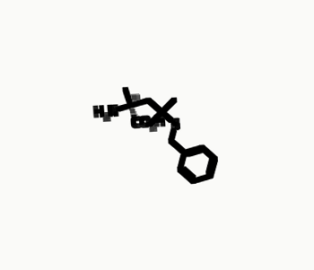 CC(C)(C[C@](C)(N)C(=O)O)SCc1ccccc1